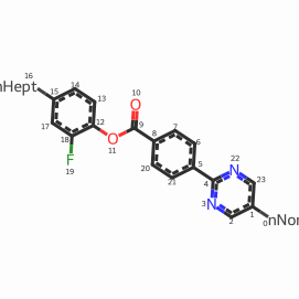 CCCCCCCCCc1cnc(-c2ccc(C(=O)Oc3ccc(CCCCCCC)cc3F)cc2)nc1